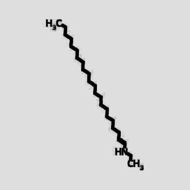 CCCCCCCCCCCCCCCCCCCCC=CNCC